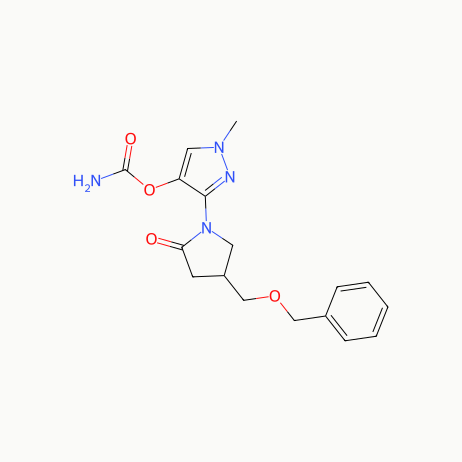 Cn1cc(OC(N)=O)c(N2CC(COCc3ccccc3)CC2=O)n1